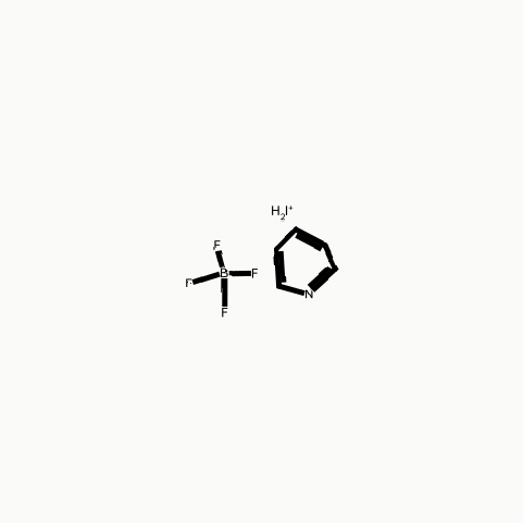 F[B-](F)(F)F.[IH2+].c1ccncc1